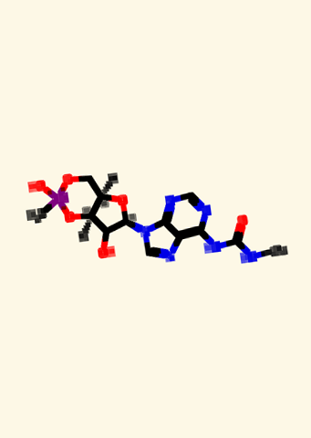 B[PH]1(O)OC[C@H]2O[C@@H](n3cnc4c(NC(=O)NC(C)(C)C)ncnc43)C(O)[C@H]2O1